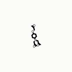 C1CC(N(CC2CO2)CC2CO2)CCC1OCC1CO1